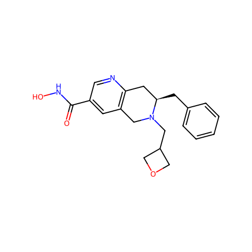 O=C(NO)c1cnc2c(c1)CN(CC1COC1)[C@H](Cc1ccccc1)C2